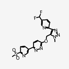 Cn1nnc(-c2ccc(C(F)F)cn2)c1COc1ccc(-c2ccc(S(C)(=O)=O)nc2)nn1